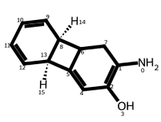 NC1=C(O)C=C2C(C1)[C@@H]1C=CC=C[C@H]21